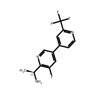 C[C@H](N)c1ncc(-c2ccnc(C(F)(F)F)c2)cc1F